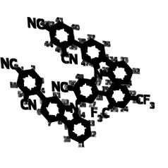 N#Cc1ccc(-c2ccc3c4ccccc4n(-c4cc(-c5ccc(C(F)(F)F)cc5C(F)(F)F)c(-n5c6ccccc6c6ccc(-c7ccc(C#N)cc7C#N)cc65)cc4C#N)c3c2)c(C#N)c1